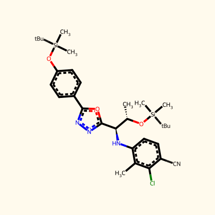 Cc1c(N[C@@H](c2nnc(-c3ccc(O[Si](C)(C)C(C)(C)C)cc3)o2)[C@H](C)O[Si](C)(C)C(C)(C)C)ccc(C#N)c1Cl